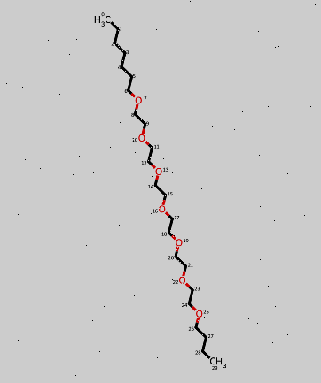 CCCCCCCOCCOCCOCCOCCOCCOCCOCCCC